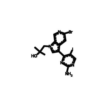 CC(C)(O)Cn1cc(-c2nc(N)ncc2I)c2cc(Br)ncc21